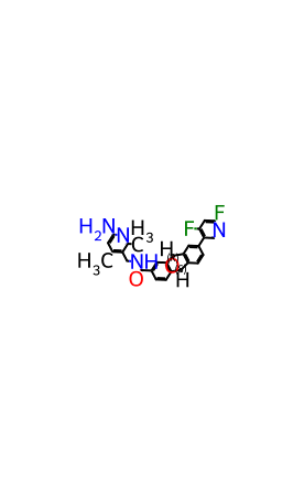 Cc1cc(N)nc(C)c1CNC(=O)c1ccc2c(c1)[C@@H]1O[C@H]2c2ccc(-c3cnc(F)cc3F)cc21